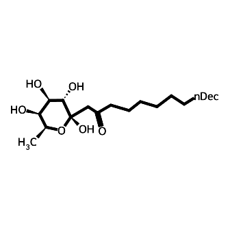 CCCCCCCCCCCCCCCCC(=O)C[C@]1(O)O[C@@H](C)[C@@H](O)[C@@H](O)[C@@H]1O